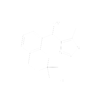 COC(c1cccc2c1OC(C)(C)OC2)c1nc[nH]c1C.Cl